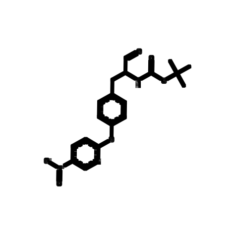 CC(C)(C)OC(=O)NC(C=O)Cc1ccc(Oc2ccc([N+](=O)[O-])cn2)cc1